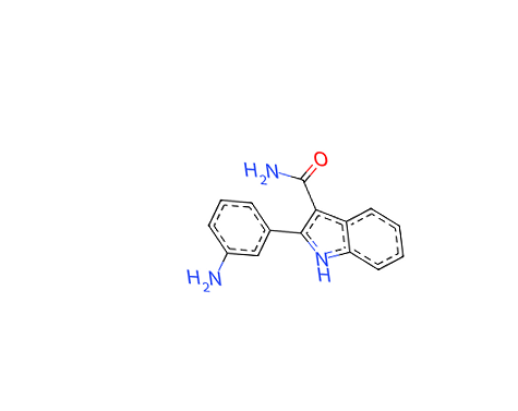 NC(=O)c1c(-c2cccc(N)c2)[nH]c2ccccc12